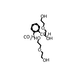 O=C(O)c1ccccc1C(=O)O.OCCOCCO.OCCOCCO